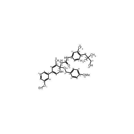 CCOc1cncc(C2=CNC(NC(=O)Nc3ccc(CC(C)(C)CO)c(C(F)(F)F)c3)(OCc3ccc(OC)cc3)C(C)=C2)c1